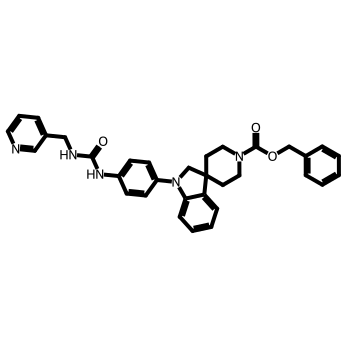 O=C(NCc1cccnc1)Nc1ccc(N2CC3(CCN(C(=O)OCc4ccccc4)CC3)c3ccccc32)cc1